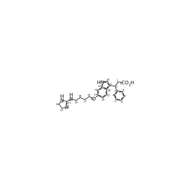 O=C(O)CC(c1ccccc1)c1c[nH]c2cc(OCCCCNC3=NCCN3)ccc12